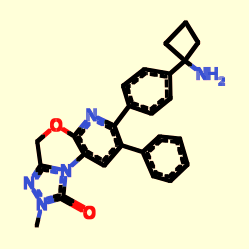 Cn1nc2n(c1=O)-c1cc(-c3ccccc3)c(-c3ccc(C4(N)CCC4)cc3)nc1OC2